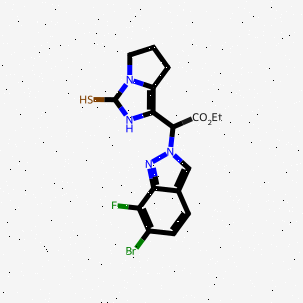 CCOC(=O)C(C1=C2CCCN2C(S)N1)n1cc2ccc(Br)c(F)c2n1